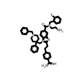 N=C(N)c1ccc(CCc2nc3cc(C(=O)N(CCN)Cc4ccccc4F)ccc3n2CC2(c3ccccc3)CCN(Cc3ccccc3)CC2)cc1